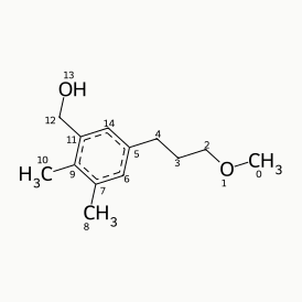 COCCCc1cc(C)c(C)c(CO)c1